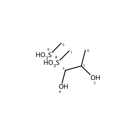 CC(O)CO.CS(=O)(=O)O.CS(=O)(=O)O